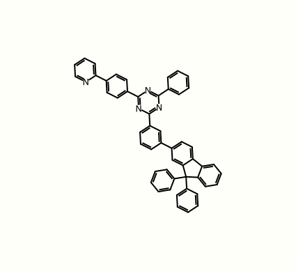 c1ccc(-c2nc(-c3ccc(-c4ccccn4)cc3)nc(-c3cccc(-c4ccc5c(c4)C(c4ccccc4)(c4ccccc4)c4ccccc4-5)c3)n2)cc1